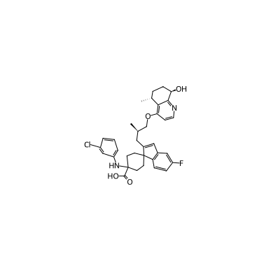 C[C@@H](COc1ccnc2c1[C@H](C)CC[C@H]2O)CC1=Cc2cc(F)ccc2C12CCC(Nc1cccc(Cl)c1)(C(=O)O)CC2